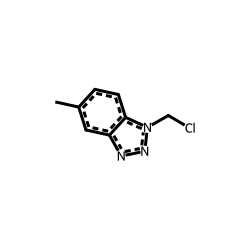 Cc1ccc2c(c1)nnn2CCl